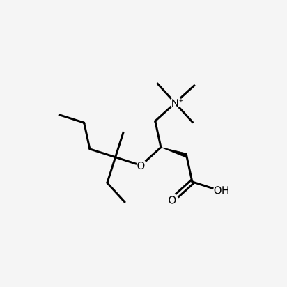 CCCC(C)(CC)O[C@H](CC(=O)O)C[N+](C)(C)C